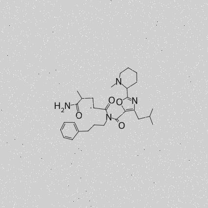 CC(C)Cc1nc(C2CCCCN2C)oc1C(=O)N(CCCc1ccccc1)C(=O)[CH]CC(C)C(N)=O